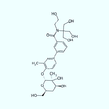 Cc1cc(-c2cccc(C(=O)N(CCO)C(CO)(CO)CO)c2)ccc1O[C@H]1O[C@H](CO)C[C@H](O)[C@]1(C)O